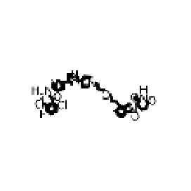 CC(Oc1cc(-c2cnn(C3CCN(CCCOCCCc4cccc5c4CN(C4CCC(=O)NC4=O)C5=O)CC3)c2)cnc1N)c1c(Cl)ccc(F)c1Cl